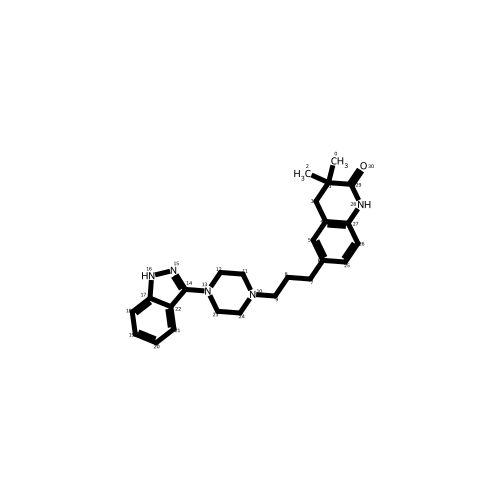 CC1(C)Cc2cc(CCCN3CCN(c4n[nH]c5ccccc45)CC3)ccc2NC1=O